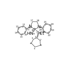 CCC(=C1CCCCC1)P1(=N)N(c2ccccc2)CCN1c1ccccc1